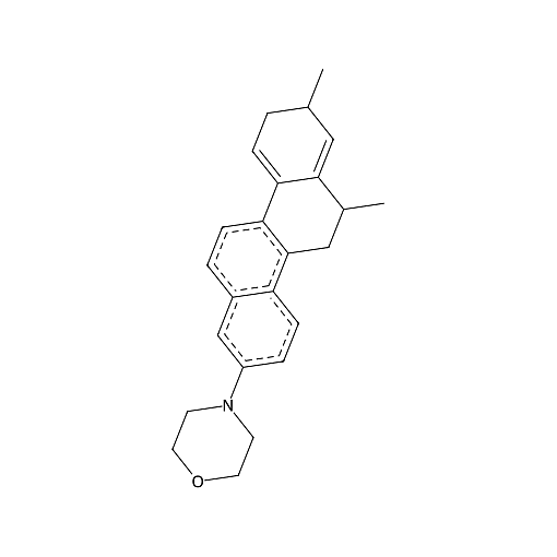 CC1C=C2C(=CC1)c1ccc3cc(N4CCOCC4)ccc3c1CC2C